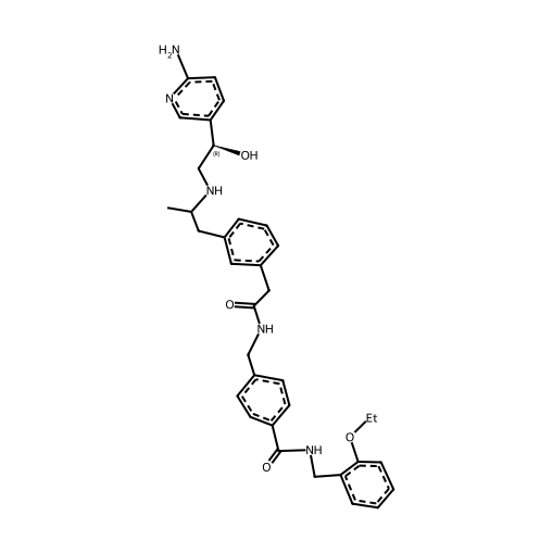 CCOc1ccccc1CNC(=O)c1ccc(CNC(=O)Cc2cccc(CC(C)NC[C@H](O)c3ccc(N)nc3)c2)cc1